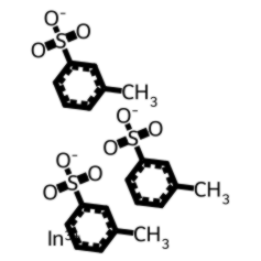 Cc1cccc(S(=O)(=O)[O-])c1.Cc1cccc(S(=O)(=O)[O-])c1.Cc1cccc(S(=O)(=O)[O-])c1.[In+3]